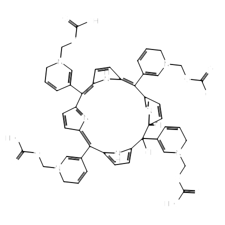 CC(=O)OCN1C=C(C2=C3C=CC(=N3)C(C3=CN(COC(C)=O)CC=C3)=c3ccc([nH]3)=C(C3=CN(COC(C)=O)CC=C3)C3=NC(Cl)(C=C3)C(Cl)(C3=CN(COC(C)=O)CC=C3)c3ccc2[nH]3)C=CC1